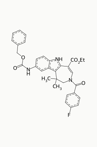 CCOC(=O)C1=CN(C(=O)c2ccc(F)cc2)CC(C)(C)c2c1[nH]c1ccc(NC(=O)OCc3ccccc3)cc21